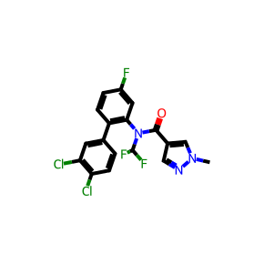 Cn1cc(C(=O)N(c2cc(F)ccc2-c2ccc(Cl)c(Cl)c2)C(F)F)cn1